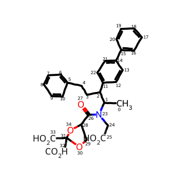 CC(C(CCc1ccccc1)c1ccc(-c2ccccc2)cc1)N(CC(=O)O)C(=O)C1COC(C(=O)O)(C(=O)O)O1